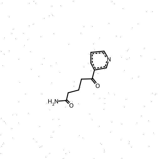 NC(=O)CCCC(=O)c1cccnc1